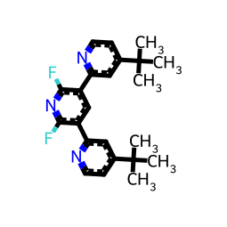 CC(C)(C)c1ccnc(-c2cc(-c3cc(C(C)(C)C)ccn3)c(F)nc2F)c1